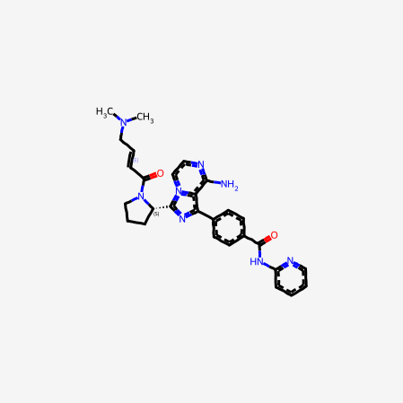 CN(C)C/C=C/C(=O)N1CCC[C@H]1c1nc(-c2ccc(C(=O)Nc3ccccn3)cc2)c2c(N)nccn12